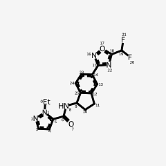 CCn1nccc1C(=O)NC1CCc2cc(-c3noc(C(F)F)n3)ccc21